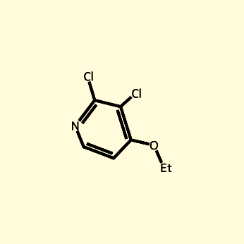 CCOc1ccnc(Cl)c1Cl